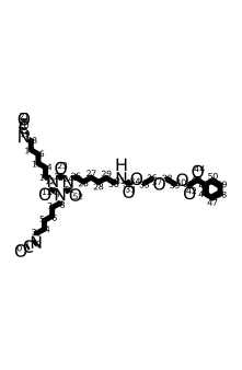 O=C=NCCCCCCn1c(=O)n(CCCCCCN=C=O)c(=O)n(CCCCCCNC(=O)OCCOCCOC(=O)C(=O)c2ccccc2)c1=O